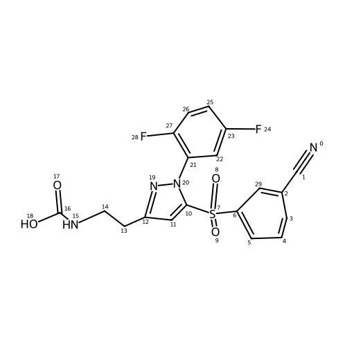 N#Cc1cccc(S(=O)(=O)c2cc(CCNC(=O)O)nn2-c2cc(F)ccc2F)c1